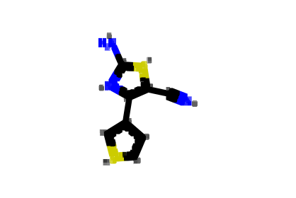 N#Cc1sc(N)nc1-c1ccsc1